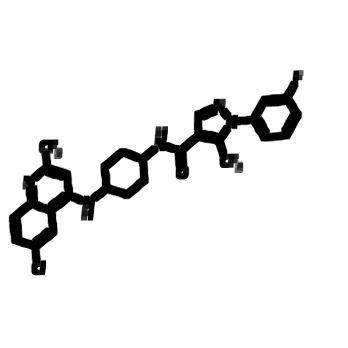 O=C(NC1CCC(Nc2cc(C(F)(F)F)nc3ccc(Cl)cc23)CC1)c1cnn(-c2cccc(F)c2)c1C(F)(F)F